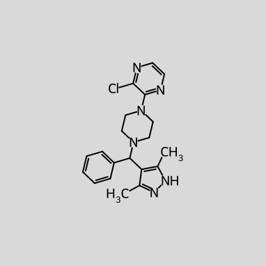 Cc1n[nH]c(C)c1C(c1ccccc1)N1CCN(c2nccnc2Cl)CC1